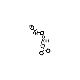 OC(COc1cccc(-c2noc(-c3ccncc3)n2)c1)CN1CCC(C(c2ccccc2)c2ccccc2)CC1